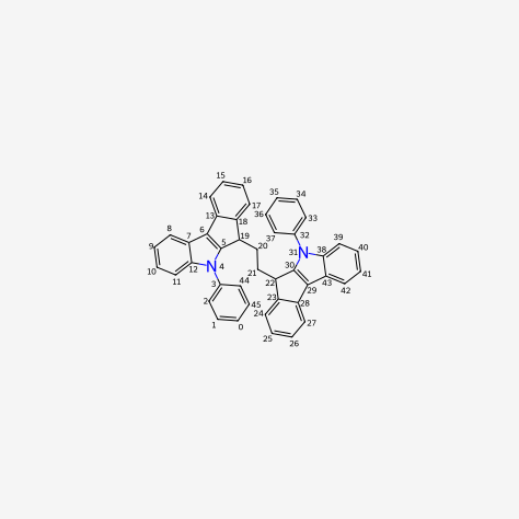 c1ccc(-n2c3c(c4ccccc42)-c2ccccc2C3CCC2c3ccccc3-c3c2n(-c2ccccc2)c2ccccc32)cc1